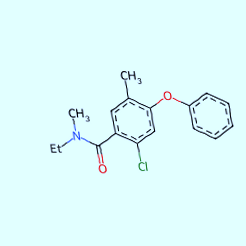 CCN(C)C(=O)c1cc(C)c(Oc2ccccc2)cc1Cl